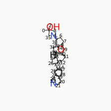 CC1(O)CN([C@@H]2CCC3=CC4=CCC5(C)[C@@H](c6ccc7ccncc7c6)CC[C@H]5[C@@]45CC[C@]3(C2)O5)C1